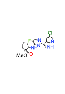 COC(=O)[C@H]1CCCCC1Nc1nc(-c2c[nH]c3ncc(Cl)cc23)ncc1F